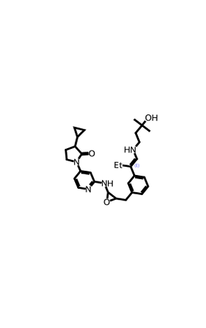 CC/C(=C\NCCC(C)(C)O)c1cccc(CC2OC2Nc2cc(N3CCC(C4CC4)C3=O)ccn2)c1